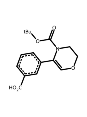 CC(C)(C)OC(=O)N1CCOC=C1c1cccc(C(=O)O)c1